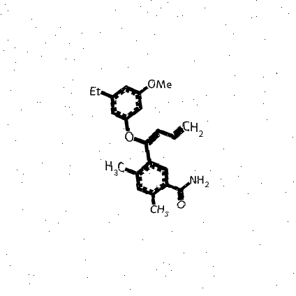 C=C/C=C(/Oc1cc(CC)cc(OC)c1)c1cc(C(N)=O)c(C)cc1C